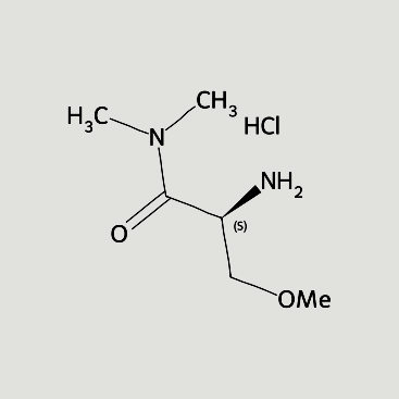 COC[C@H](N)C(=O)N(C)C.Cl